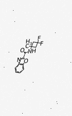 CC1(NC(=O)c2nc3ccccc3o2)CC(F)(F)C1